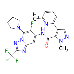 Cc1cccc(-c2cnn(C)c2C(=O)Nc2cc3nc(C(F)(F)F)nn3c(N3CCCC3)c2F)n1